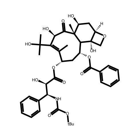 C/C1=C(/C(C)(C)O)[C@@H](O)C(=O)[C@@]2(C)C([C@H](OC(=O)c3ccccc3)C[C@@H]1OC(=O)[C@H](O)[C@@H](NC(=O)OC(C)(C)C)c1ccccc1)[C@]1(O)CO[C@@H]1C[C@@H]2O